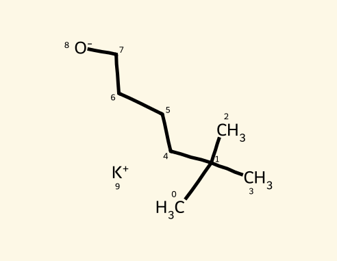 CC(C)(C)CCCC[O-].[K+]